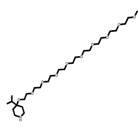 COCCOCCOCCOCCOCCOCCOCCOCCOCCOC1(C(C)C)CCNCC1